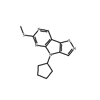 CSc1ncc2c3sncc3n(C3CCCC3)c2n1